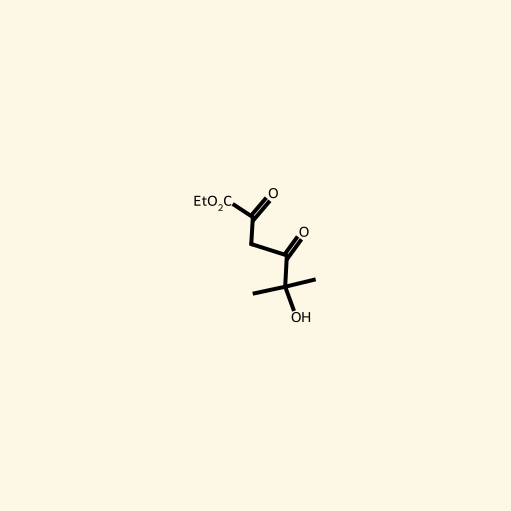 CCOC(=O)C(=O)CC(=O)C(C)(C)O